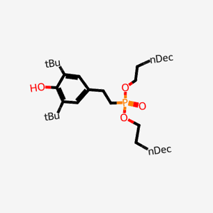 CCCCCCCCCCCCOP(=O)(CCc1cc(C(C)(C)C)c(O)c(C(C)(C)C)c1)OCCCCCCCCCCCC